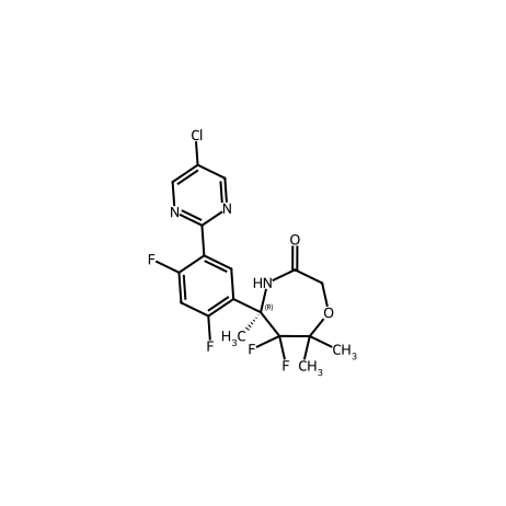 CC1(C)OCC(=O)N[C@](C)(c2cc(-c3ncc(Cl)cn3)c(F)cc2F)C1(F)F